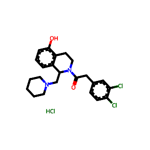 Cl.O=C(Cc1ccc(Cl)c(Cl)c1)N1CCc2c(O)cccc2C1CN1CCCCC1